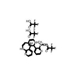 CN(C)c1ncccc1C1NC=CC23C=CNc4ncccc4C12N=CN3.O=C(O)C(F)(F)F.O=C(O)C(F)(F)F.O=C(O)C(F)(F)F